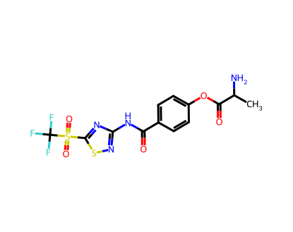 CC(N)C(=O)Oc1ccc(C(=O)Nc2nsc(S(=O)(=O)C(F)(F)F)n2)cc1